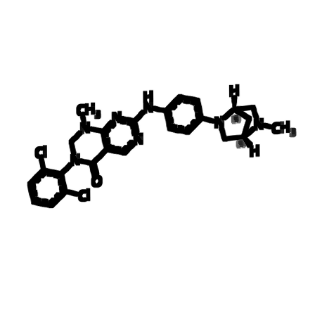 CN1CN(c2c(Cl)cccc2Cl)C(=O)c2cnc(Nc3ccc(N4C[C@@H]5C[C@H]4CN5C)cc3)nc21